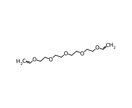 C=COCCOCCOCCOCCOC=C